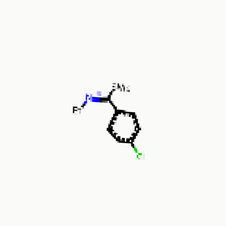 CC/N=C(/SC)c1ccc(Cl)cc1